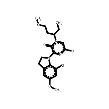 CCC(CCOC)n1cc(Cl)nc(N2CCc3cc(OC)cc(Cl)c32)c1=O